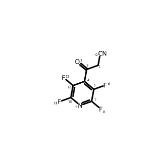 N#CCC(=O)c1c(F)c(F)nc(F)c1F